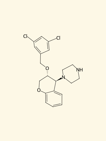 Clc1cc(Cl)cc(CO[C@H]2COc3ccccc3[C@@H]2N2CCNCC2)c1